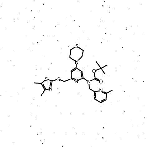 Cc1cccc(CN(C(=O)OC(C)(C)C)c2cc(N3CCSCC3)cc(CSc3nc(C)c(C)s3)n2)n1